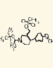 COc1ccc(C2=C(COS(C)(=O)=O)CN(C(=O)OC(C)(C)C)CC2)cc1